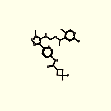 Cc1cnc(F)cc1C(C)OCNc1c(-c2ccc(NC(=O)C3CC(F)(F)C3)cn2)nnn1C